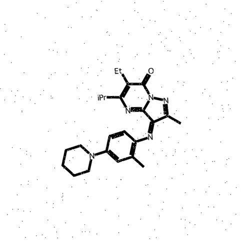 CCc1c(C(C)C)nc2n(c1=O)N=C(C)C2=Nc1ccc(N2CCCCC2)cc1C